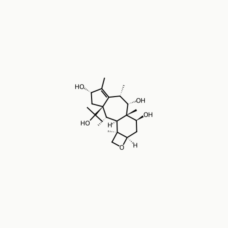 CC1=C2[C@H](C)[C@H](O)[C@@]3(C)[C@H]([C@H](C)[C@]2(C(C)(C)O)C[C@@H]1O)[C@]1(C)CO[C@@H]1C[C@@H]3O